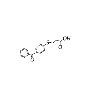 O=C(O)CCSc1ccc(C(=O)c2ccccc2)cc1